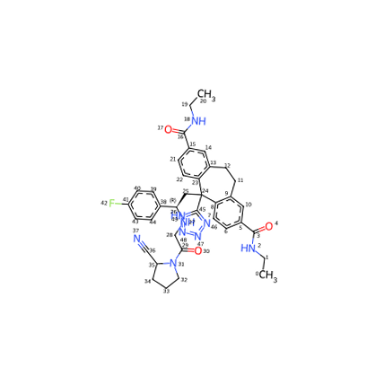 CCNC(=O)c1ccc2c(c1)CCc1cc(C(=O)NCC)ccc1C2(C[C@@H](NCC(=O)N1CCCC1C#N)c1ccc(F)cc1)c1nnn[nH]1